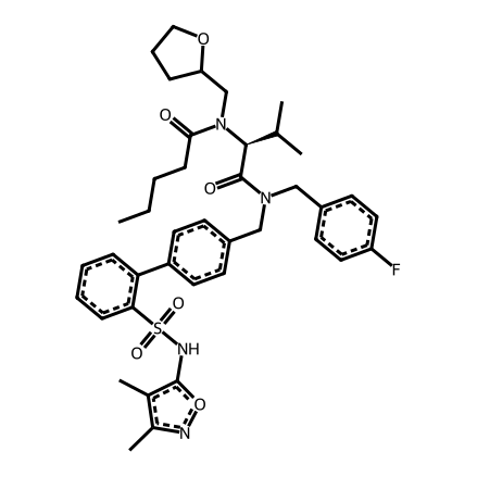 CCCCC(=O)N(CC1CCCO1)[C@H](C(=O)N(Cc1ccc(F)cc1)Cc1ccc(-c2ccccc2S(=O)(=O)Nc2onc(C)c2C)cc1)C(C)C